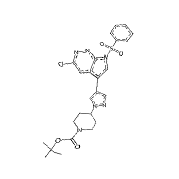 CC(C)(C)OC(=O)N1CCC(n2cc(-c3cn(S(=O)(=O)c4ccccc4)c4nnc(Cl)cc34)cn2)CC1